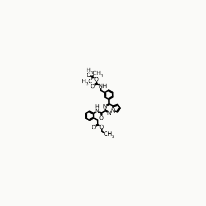 CCOC(=O)Cc1ccccc1NC(=O)c1nc(-c2cccc(CNC(=O)OC(C)(C)C)c2)c2cccn2n1